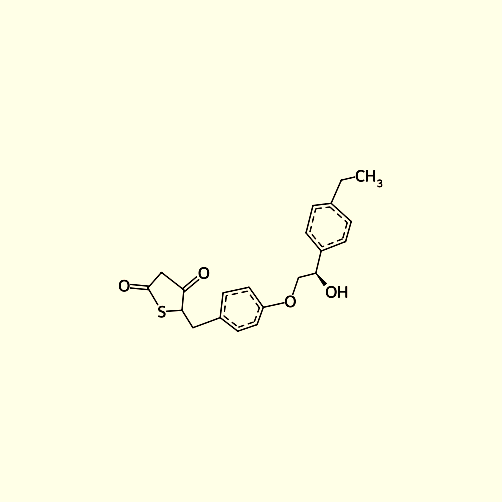 CCc1ccc([C@@H](O)COc2ccc(CC3SC(=O)CC3=O)cc2)cc1